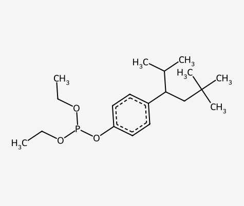 CCOP(OCC)Oc1ccc(C(CC(C)(C)C)C(C)C)cc1